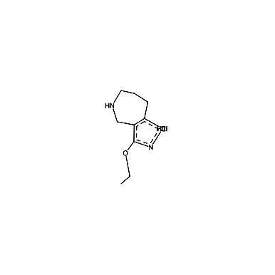 CCOc1noc2c1CNCCC2.Cl